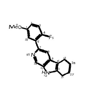 COc1ccc(F)c(-c2cc3c4c([nH]c3cn2)CCCC4)c1